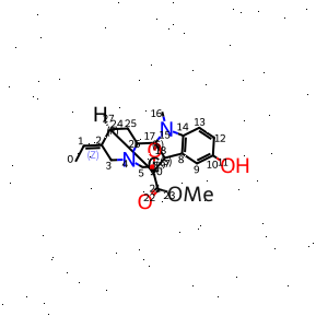 C/C=C1\CN2CC[C@@]34c5cc(O)ccc5N(C)[C@]35OCC4(C(=O)OC)[C@@H]1CC25